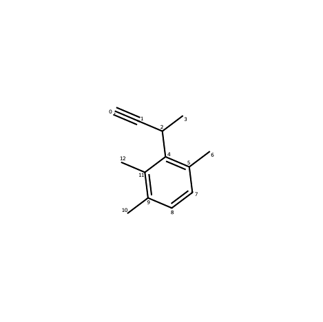 [C]#CC(C)c1c(C)ccc(C)c1C